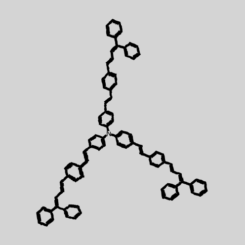 C(/C=C/c1ccc(/C=C/c2ccc(N(c3ccc(/C=C/c4ccc(/C=C/C=C(c5ccccc5)c5ccccc5)cc4)cc3)c3ccc(/C=C/c4ccc(/C=C/C=C(c5ccccc5)c5ccccc5)cc4)cc3)cc2)cc1)=C(c1ccccc1)c1ccccc1